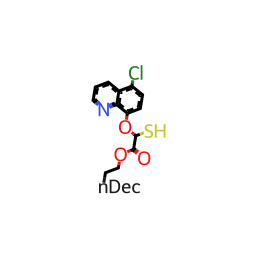 CCCCCCCCCCCCOC(=O)C(S)Oc1ccc(Cl)c2cccnc12